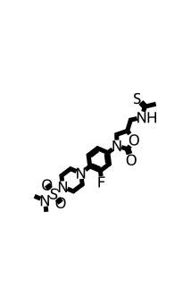 CC(=S)NCC1CN(c2ccc(N3CCN(S(=O)(=O)N(C)C)CC3)c(F)c2)C(=O)O1